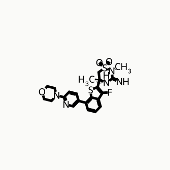 CN1C(=N)N[C@](C)(c2sc3c(-c4ccc(N5CCOCC5)nc4)cccc3c2F)CS1(=O)=O